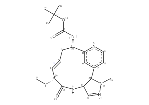 CC[C@@H]1/C=C/C[C@H](NC(=O)OC(C)(C)C)c2cc(ccn2)C2C(C=NN2C)NC1=O